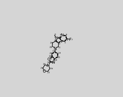 Cn1c2c(c3cc(F)cnc31)CN(c1ccc3nc(N4CCOCC4)oc3c1)CC2